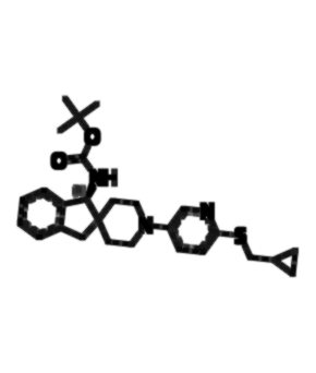 CC(C)(C)OC(=O)N[C@@H]1c2ccccc2CC12CCN(c1ccc(SCC3CC3)nc1)CC2